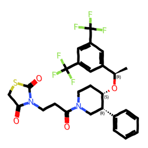 C[C@@H](O[C@H]1CCN(C(=O)CCN2C(=O)CSC2=O)C[C@H]1c1ccccc1)c1cc(C(F)(F)F)cc(C(F)(F)F)c1